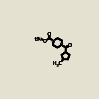 CC1CCC(C(=O)N2CCN(C(=O)OC(C)(C)C)CC2)C1